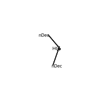 CCCCCCCCCCCCCCCCCCCCCCCCCCCCC(C)c1cccc(C(C)CCCCCCCCCCCCCCCCCCCCCCCCCCCC)c1O